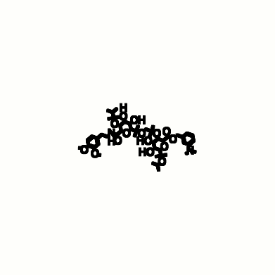 COc1ccc(CCNC(=O)C2OC(C(C)(C)OCC(C)(C)O[C@@H]3C(C(=O)OCc4cccc(N(C)C)c4)OC(C(C)(C)OC(C)C)C(O)C3O)C(O)C(O)[C@@H]2OC(C)(C)C(C)C)cc1OC